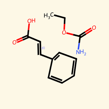 CCOC(N)=O.O=C(O)/C=C/c1ccccc1